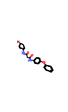 O=C(CC(=O)Nc1ccc(Oc2ccccc2)cc1)Nc1ccc(Br)cc1